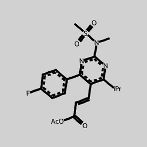 CC(=O)OC(=O)/C=C/c1c(-c2ccc(F)cc2)nc(N(C)S(C)(=O)=O)nc1C(C)C